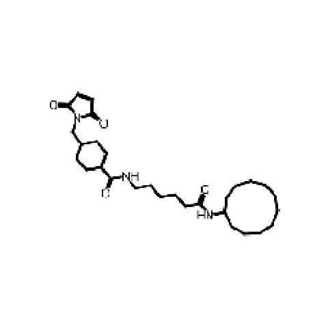 O=C(CCCCCNC(=O)C1CCC(CN2C(=O)C=CC2=O)CC1)NC1CCCCCCCCCC1